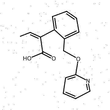 CC=C(C(=O)O)c1ccccc1COc1ccccn1